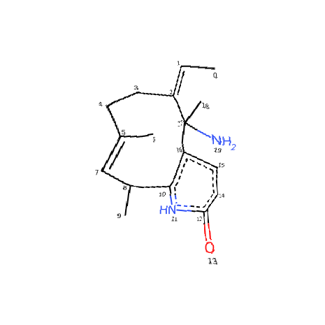 C/C=C1/CC/C(C)=C/C(C)c2[nH]c(=O)ccc2C1(C)N